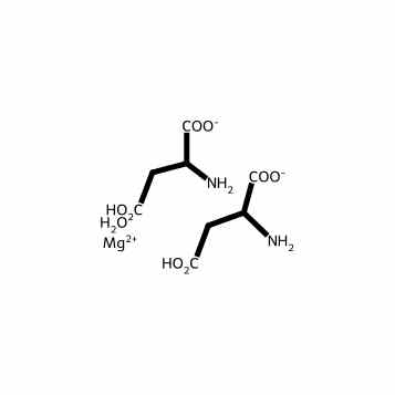 NC(CC(=O)O)C(=O)[O-].NC(CC(=O)O)C(=O)[O-].O.[Mg+2]